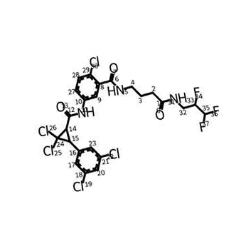 O=C(CCCNC(=O)c1cc(NC(=O)C2C(c3cc(Cl)cc(Cl)c3)C2(Cl)Cl)ccc1Cl)NCC(F)C(F)F